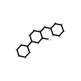 FC1CC(C2CCCCC2)CCC1CC1CCCCC1